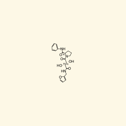 O=C(Nc1ccccc1)[C@H]1CCCN1C(=O)[C@H](O)[C@@H](O)C(=O)NCc1ccco1